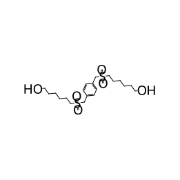 O=S(=O)(CCCCCCO)Cc1ccc(CS(=O)(=O)CCCCCCO)cc1